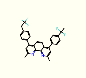 Cc1cc(-c2ccc(CC(F)(F)F)cc2)c2ccc3c(-c4ccc(C(C)(F)F)cc4)cc(C)nc3c2n1